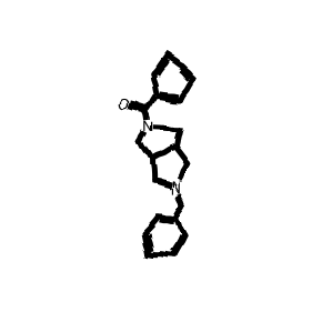 O=C(c1ccccc1)N1CC2CN(Cc3ccccc3)CC2C1